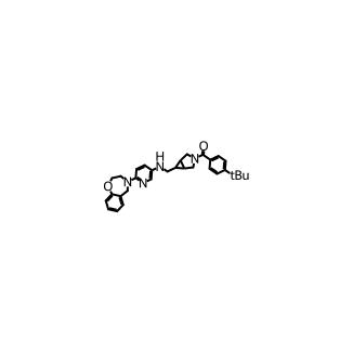 CC(C)(C)c1ccc(C(=O)N2CC3C(CNc4ccc(N5CCOc6ccccc6C5)nc4)C3C2)cc1